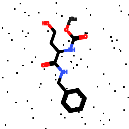 CC(C)(C)OC(=O)NC(CCO)C(=O)NCc1ccccc1